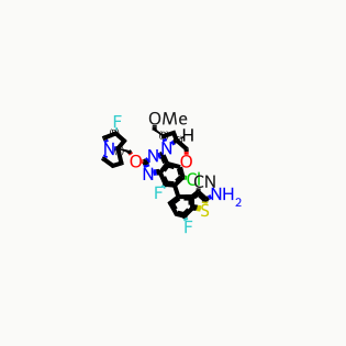 COC[C@H]1C[C@H]2COc3c(Cl)c(-c4ccc(F)c5sc(N)c(C#N)c45)c(F)c4nc(OC[C@@]56CCCN5C[C@H](F)C6)nc(c34)N21